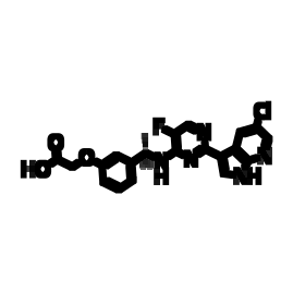 C[C@H](Nc1nc(-c2c[nH]c3ncc(Cl)cc23)ncc1F)c1cccc(OCC(=O)O)c1